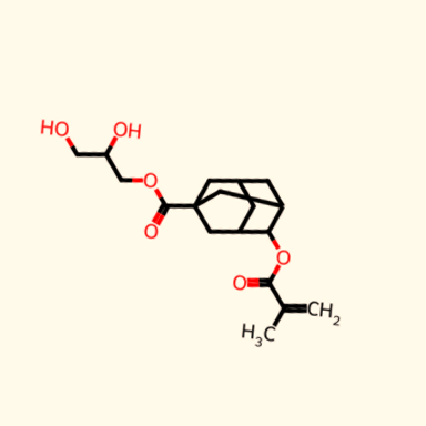 C=C(C)C(=O)OC1C2CC3CC1CC(C(=O)OCC(O)CO)(C3)C2